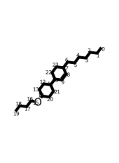 CCCCCCCC1C=CC(C2CCC(OCCCC)CC2)CC1